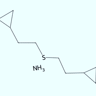 C(CC1CC1)SCCC1CC1.N